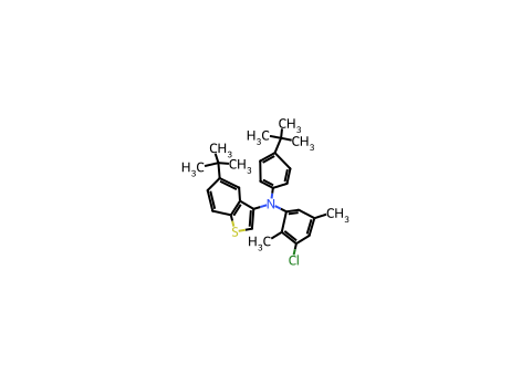 Cc1cc(Cl)c(C)c(N(c2ccc(C(C)(C)C)cc2)c2csc3ccc(C(C)(C)C)cc23)c1